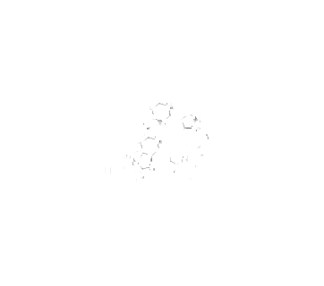 CC(=O)N1CCC([S+]([O-])n2cc(-c3nccc(Nc4cc5c(cn4)nc(C)n5C(C)C)n3)cn2)C1